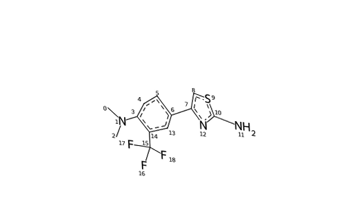 CN(C)c1ccc(-c2csc(N)n2)cc1C(F)(F)F